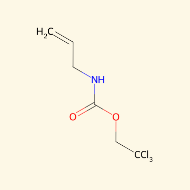 C=CCNC(=O)OCC(Cl)(Cl)Cl